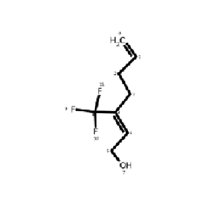 C=CCCC(=CCO)C(F)(F)F